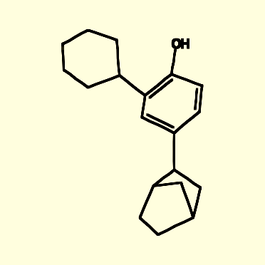 Oc1ccc(C2CC3CCC2C3)cc1C1CCCCC1